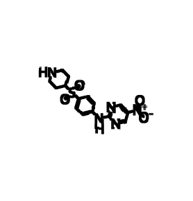 O=[N+]([O-])c1cnc(Nc2ccc(S(=O)(=O)C3CCNCC3)cc2)nc1